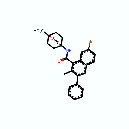 Cc1c(-c2ccccc2)cc2ccc(Br)cc2c1C(=O)NC12CCC(C(=O)O)(CC1)OC2